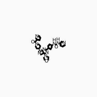 O=C(Nc1ccc(-c2nc(N3CCOCC3)c3cnn(C4CCN(C(=O)c5cccnc5)CC4)c3n2)cc1)Nc1cccnc1